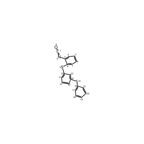 O=C=Nc1ccccc1Sc1cccc(Sc2ccccc2)c1